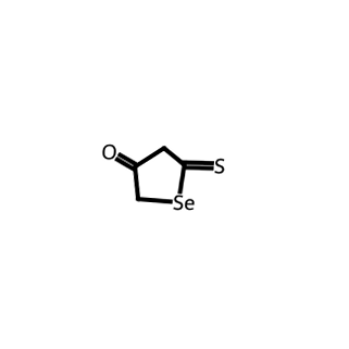 O=C1C[Se]C(=S)C1